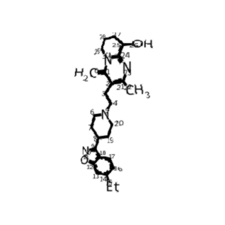 C=C1C(CCN2CCC(c3noc4cc(CC)ccc34)CC2)=C(C)N=C2C(O)CCCN12